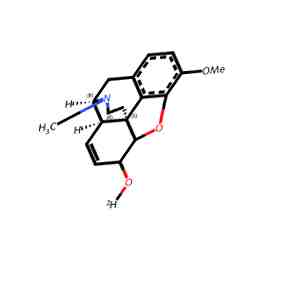 [2H]OC1C=C[C@H]2[C@H]3Cc4ccc(OC)c5c4[C@@]2(CCN3C)C1O5